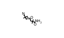 CC1(C#N)CN(C(=O)CC(C)(C)C(N)=O)C1